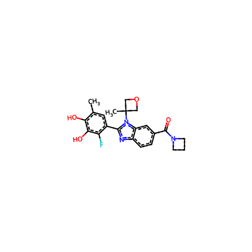 Cc1cc(-c2nc3ccc(C(=O)N4CCC4)cc3n2C2(C)COC2)c(F)c(O)c1O